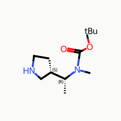 C[C@H]([C@H]1CCNC1)N(C)C(=O)OC(C)(C)C